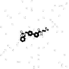 CN(C)CCNC(=O)c1cccc(-c2ccc(CN3CC4(CCCCC4)OC3=O)cc2)c1